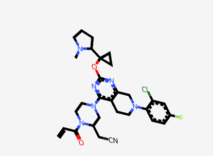 C=CC(=O)N1CCN(c2nc(OC3(C4CCCN4C)CC3)nc3c2CCN(c2ccc(F)cc2Cl)C3)CC1CC#N